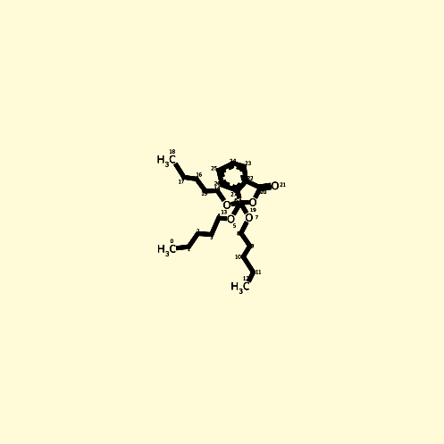 CCCCCOI1(OCCCCC)(OCCCCC)OC(=O)c2ccccc21